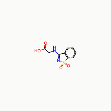 O=C(O)CNC1=NS(=O)(=O)c2ccccc21